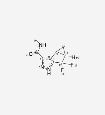 CNC(=O)c1n[nH]c2c1C1C[C@H]1C2(F)F